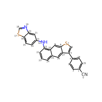 N#Cc1ccc(-c2csc3cc4c(Nc5ccc6scnc6c5)cccc4cc23)cc1